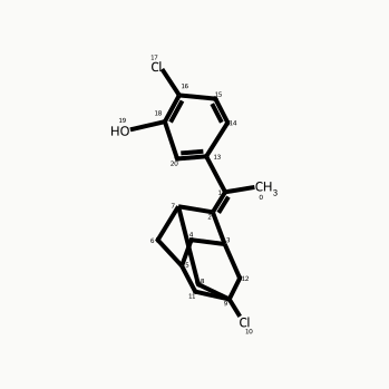 CC(=C1C2CC3CC1CC(Cl)(C3)C2)c1ccc(Cl)c(O)c1